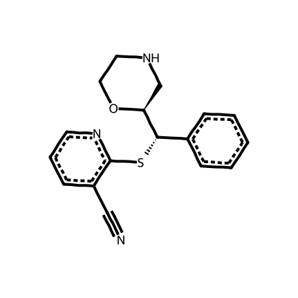 N#Cc1cccnc1S[C@@H](c1ccccc1)[C@@H]1CNCCO1